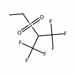 C[CH]S(=O)(=O)C(C(F)(F)F)C(F)(F)F